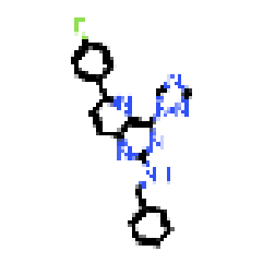 Fc1ccc(-c2ccc3nc(NCc4ccccc4)nc(-n4cncn4)c3n2)cc1